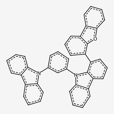 c1cc(-n2c3ccccc3c3ccccc32)cc(-n2c3ccccc3c3cccc(-c4cccc5c4oc4ccccc45)c32)c1